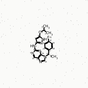 CC(C)Oc1cc(Nc2ncc3ncn([C@@H](C)c4ccc(F)cc4)c3n2)n[nH]1